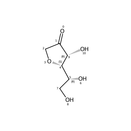 O=C1CO[C@@H]([C@H](O)CO)[C@H]1O